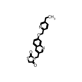 CCc1ccc(COc2ccc3cc(CN4C(=O)CSC4=O)cnc3c2)nc1